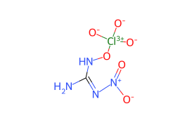 NC(=N[N+](=O)[O-])NO[Cl+3]([O-])([O-])[O-]